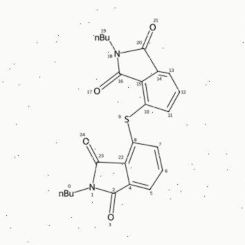 CCCCN1C(=O)c2cccc(Sc3cccc4c3C(=O)N(CCCC)C4=O)c2C1=O